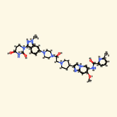 CC(C)Oc1cc2nc(C3CCN(CC(=O)N4CCN(c5ccc6c(N7CCC(=O)NC7=O)nn(C)c6c5)CC4)CC3)cn2cc1NC(=O)c1cccc(C(F)(F)F)n1